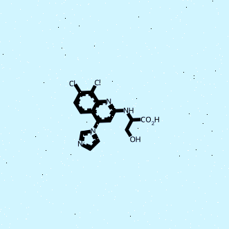 O=C(O)C(CO)Nc1cc(-n2ccnc2)c2ccc(Cl)c(Cl)c2n1